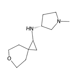 CN1CC[C@@H](NC2CC23CCOCC3)C1